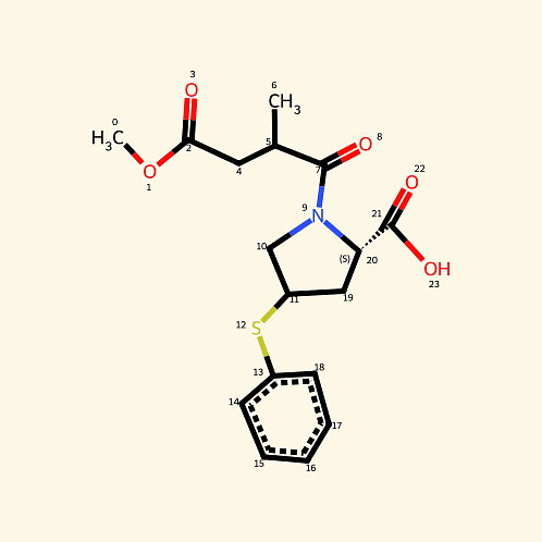 COC(=O)CC(C)C(=O)N1CC(Sc2ccccc2)C[C@H]1C(=O)O